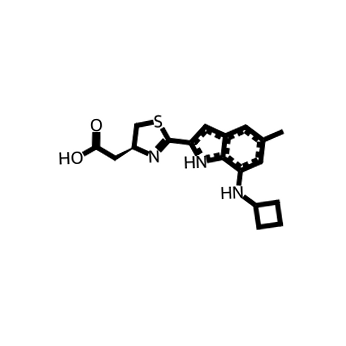 Cc1cc(NC2CCC2)c2[nH]c(C3=N[C@@H](CC(=O)O)CS3)cc2c1